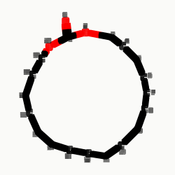 O=C1OCCCCCCCCCCCCCCCCCO1